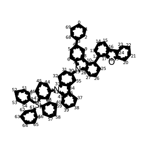 c1ccc(-c2ccc3c(c2)c2c(-c4cccc5c4oc4ccccc45)cccc2n3-c2ccc3c(c2)c2ccccc2n3-c2cccc([Si](c3ccccc3)(c3ccccc3)c3ccccc3)c2)cc1